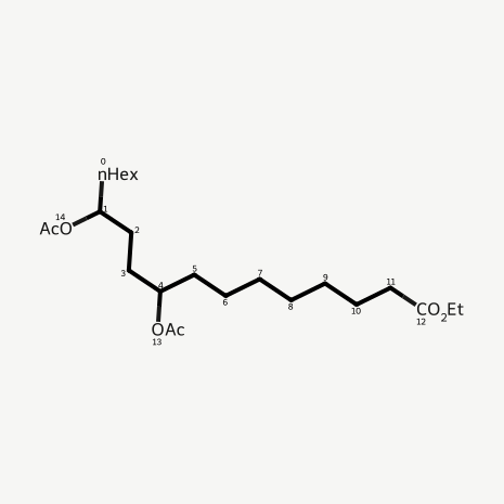 CCCCCCC(CCC(CCCCCCCC(=O)OCC)OC(C)=O)OC(C)=O